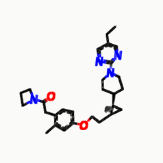 CCc1cnc(N2CCC([C@H]3CC3CCOc3ccc(CC(=O)N4CCC4)c(C)c3)CC2)nc1